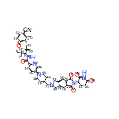 Cc1cc(O[C@H]2C(C)(C)[C@H](NC(=O)c3ccc(N4CCC(CN5Cc6cc7c(cc6C5)C(=O)N(C5CCC(=O)NC5=O)C7=O)CC4)cn3)C2(C)C)ccc1C#N